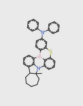 CC12CCCCCC1c1cccc3c1N2c1cccc2c1B3c1ccc(N(c3ccccc3)c3ccccc3)cc1S2